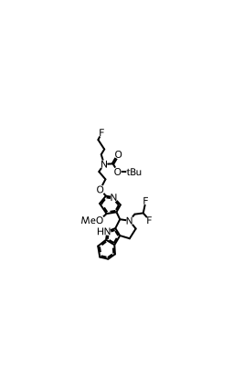 COc1cc(OCCN(CCCF)C(=O)OC(C)(C)C)ncc1C1c2[nH]c3ccccc3c2CCN1CC(F)F